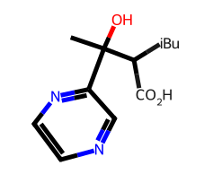 CCC(C)C(C(=O)O)C(C)(O)c1cnccn1